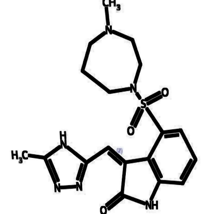 Cc1nnc(/C=C2\C(=O)Nc3cccc(S(=O)(=O)N4CCCN(C)CC4)c32)[nH]1